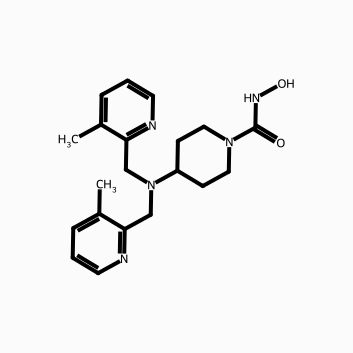 Cc1cccnc1CN(Cc1ncccc1C)C1CCN(C(=O)NO)CC1